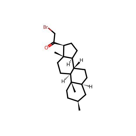 C[C@H]1CC[C@@]2(C)[C@@H](CC[C@@H]3[C@@H]2CC[C@]2(C)[C@@H](C(=O)CBr)CC[C@@H]32)C1